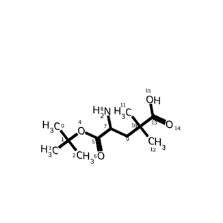 CC(C)(C)OC(=O)C(N)CC(C)(C)C(=O)O